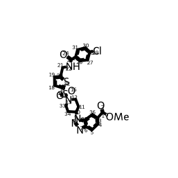 COC(=O)c1ccc2nnn(C3CCN(S(=O)(=O)c4ccc(CNC(=O)c5ccc(Cl)cc5)s4)CC3)c2c1